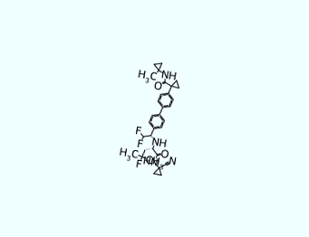 CC(C)(F)C[C@H](N[C@@H](c1ccc(-c2ccc(C3(C(=O)NC4(C)CC4)CC3)cc2)cc1)C(F)F)C(=O)NC1(C#N)CC1